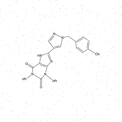 CCCn1c(=O)c2[nH]c(-c3cnn(Cc4ccc(C#N)cc4)c3)nc2n(CCC)c1=O